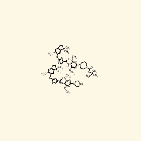 COc1nc(N2CCCN(C(=O)OC(C)(C)C)CC2)nc(OC)c1NC(=O)c1csc(Oc2cc3c(cc2C)CCC3(C)C)n1.COc1nc(N2CCNCC2)nc(OC)c1NC(=O)c1csc(Oc2cc3c(cc2C)CCC3(C)C)n1